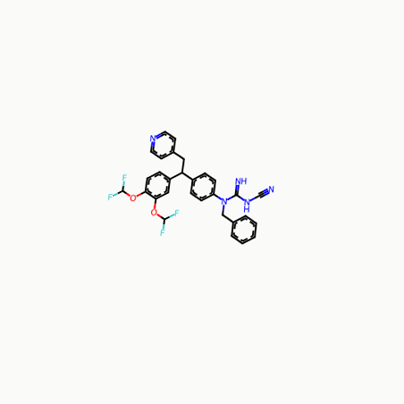 N#CNC(=N)N(Cc1ccccc1)c1ccc(C(Cc2ccncc2)c2ccc(OC(F)F)c(OC(F)F)c2)cc1